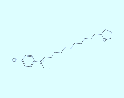 CC[S+](CCCCCCCCCCCC1CCCO1)c1ccc(Cl)cc1